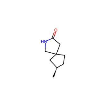 C[C@@H]1CCC2(CNC(=O)C2)C1